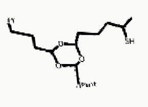 CCCCCC1OC(CCCC(C)C)OC(CCCC(C)S)O1